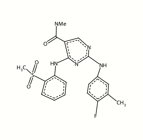 CNC(=O)c1cnc(Nc2ccc(F)c(C)c2)nc1Nc1ccccc1S(C)(=O)=O